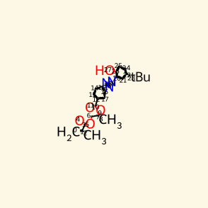 C=C(C)C(=O)OCC(C)OC(=O)c1ccc2c(c1)n1n(-c3cc(C(C)(C)C)ccc3O)n21